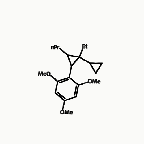 CCCC1C(c2c(OC)cc(OC)cc2OC)C1(CC)C1CC1